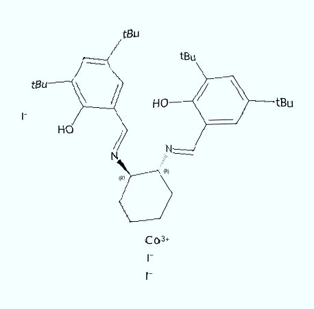 CC(C)(C)c1cc(C=N[C@@H]2CCCC[C@H]2N=Cc2cc(C(C)(C)C)cc(C(C)(C)C)c2O)c(O)c(C(C)(C)C)c1.[Co+3].[I-].[I-].[I-]